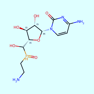 NCC[PH](=O)C(O)[C@H]1O[C@@H](n2ccc(N)nc2=O)[C@@H](O)[C@@H]1O